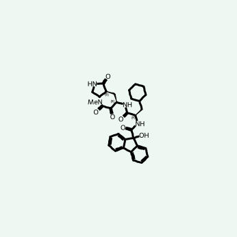 CNC(=O)C(=O)[C@@H](C[C@H]1CCNC1=O)NC(=O)[C@@H](CC1CCCCC1)NC(=O)C1(O)c2ccccc2-c2ccccc21